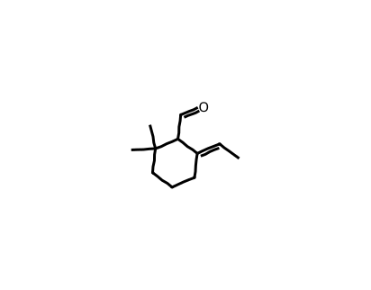 CC=C1CCCC(C)(C)C1C=O